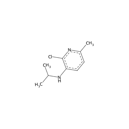 Cc1ccc(NC(C)C)c(Cl)n1